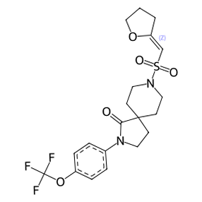 O=C1N(c2ccc(OC(F)(F)F)cc2)CCC12CCN(S(=O)(=O)/C=C1/CCCO1)CC2